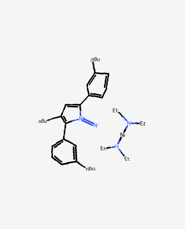 CCCCC1=C(c2cccc(CCCC)c2)[N+](=[N-])C(c2cccc(CCCC)c2)=C1.CC[N](CC)[Ni][N](CC)CC